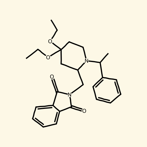 CCOC1(OCC)CCN(C(C)c2ccccc2)C(CN2C(=O)c3ccccc3C2=O)C1